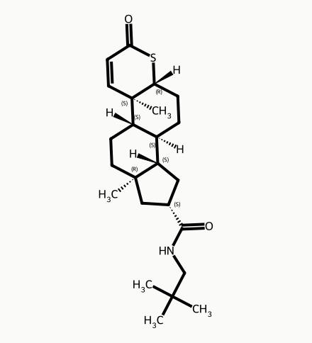 CC(C)(C)CNC(=O)[C@H]1C[C@H]2[C@@H]3CC[C@H]4SC(=O)C=C[C@]4(C)[C@H]3CC[C@]2(C)C1